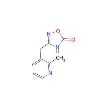 Cc1ncccc1Cc1noc(=O)[nH]1